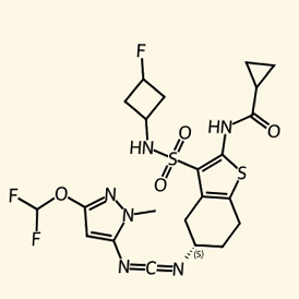 Cn1nc(OC(F)F)cc1N=C=N[C@H]1CCc2sc(NC(=O)C3CC3)c(S(=O)(=O)NC3CC(F)C3)c2C1